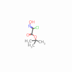 CC(C)(C)OC(=O)/C(Cl)=N/O